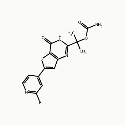 CC(C)(OC(N)=O)c1nc2cc(-c3ccnc(F)c3)sc2c(=O)[nH]1